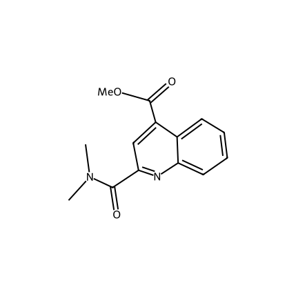 COC(=O)c1cc(C(=O)N(C)C)nc2ccccc12